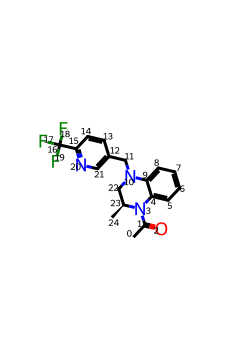 CC(=O)N1c2ccccc2N(Cc2ccc(C(F)(F)F)nc2)C[C@@H]1C